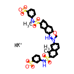 Cc1c(S(=O)(=O)Nc2cccc(S(=O)(=O)[O-])c2)ccc2ccc(N(C=O)Nc3ccc4ccc(S(=O)(=O)N(C)c5cccc(S(=O)(=O)[O-])c5)cc4c3)cc12.[K+].[K+]